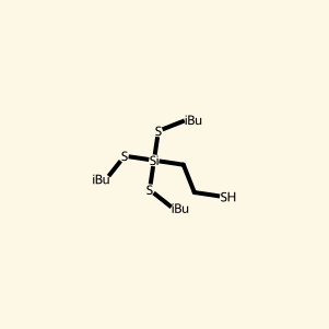 CCC(C)S[Si](CCS)(SC(C)CC)SC(C)CC